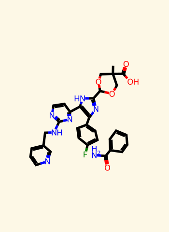 CC1(C(=O)O)COC(c2nc(-c3ccc(F)cc3)c(-c3ccnc(NCc4cccnc4)n3)[nH]2)OC1.NC(=O)c1ccccc1